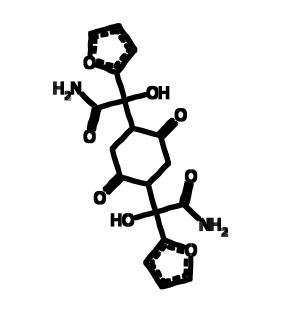 NC(=O)C(O)(c1ccco1)C1CC(=O)C(C(O)(C(N)=O)c2ccco2)CC1=O